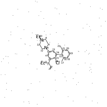 CCC(F)c1cc(N2CCN(CC)CC2)cc(-c2c(C)cccc2C)c1Cl